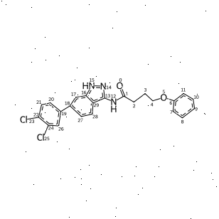 O=C(CCCOc1ccccc1)Nc1n[nH]c2cc(-c3ccc(Cl)c(Cl)c3)ccc12